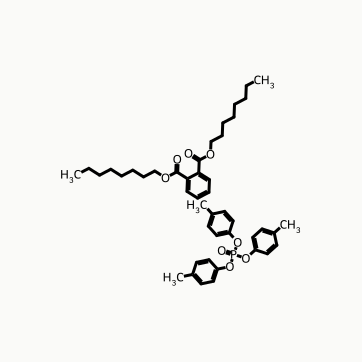 CCCCCCCCOC(=O)c1ccccc1C(=O)OCCCCCCCC.Cc1ccc(OP(=O)(Oc2ccc(C)cc2)Oc2ccc(C)cc2)cc1